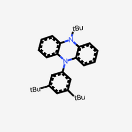 CC(C)(C)c1cc(N2c3ccccc3N(C(C)(C)C)c3ccccc32)cc(C(C)(C)C)c1